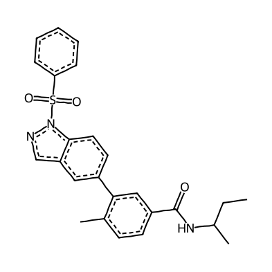 CCC(C)NC(=O)c1ccc(C)c(-c2ccc3c(cnn3S(=O)(=O)c3ccccc3)c2)c1